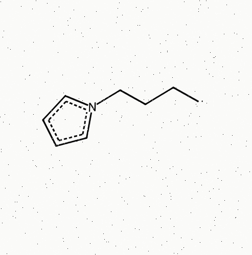 [CH2]CCCn1cccc1